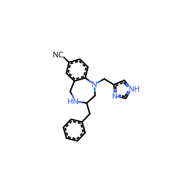 N#Cc1ccc2c(c1)CNC(Cc1ccccc1)CN2Cc1c[nH]cn1